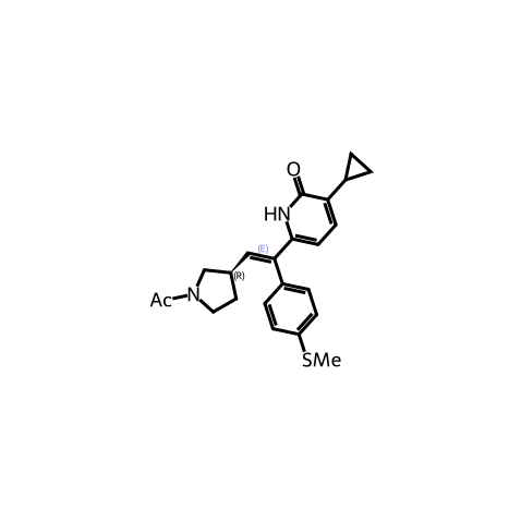 CSc1ccc(/C(=C\[C@H]2CCN(C(C)=O)C2)c2ccc(C3CC3)c(=O)[nH]2)cc1